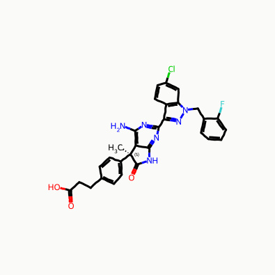 C[C@@]1(c2ccc(CCC(=O)O)cc2)C(=O)Nc2nc(-c3nn(Cc4ccccc4F)c4cc(Cl)ccc34)nc(N)c21